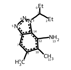 CCC(CC)n1nnc2cc(C)c(C)c(N)c21